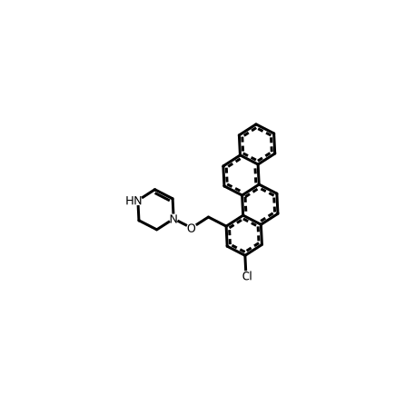 Clc1cc(CON2C=CNCC2)c2c(ccc3c4ccccc4ccc32)c1